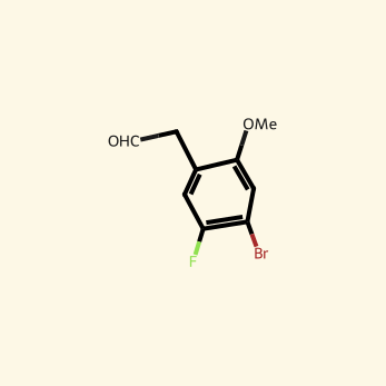 COc1cc(Br)c(F)cc1CC=O